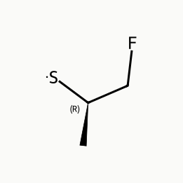 C[C@@H]([S])CF